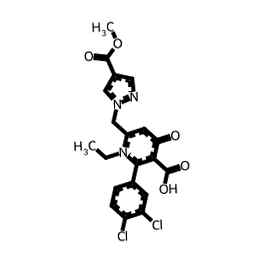 CCn1c(Cn2cc(C(=O)OC)cn2)cc(=O)c(C(=O)O)c1-c1ccc(Cl)c(Cl)c1